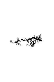 C=C(C)C(=O)OCCOC(=O)CC(CC(F)(F)C(F)(F)C(F)(C(F)(F)F)C(F)(F)F)OC(=O)C(F)(F)S(=O)(=O)O